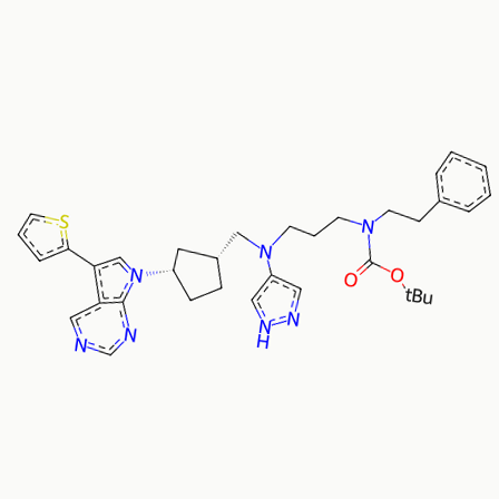 CC(C)(C)OC(=O)N(CCCN(C[C@@H]1CC[C@H](n2cc(-c3cccs3)c3cncnc32)C1)c1cn[nH]c1)CCc1ccccc1